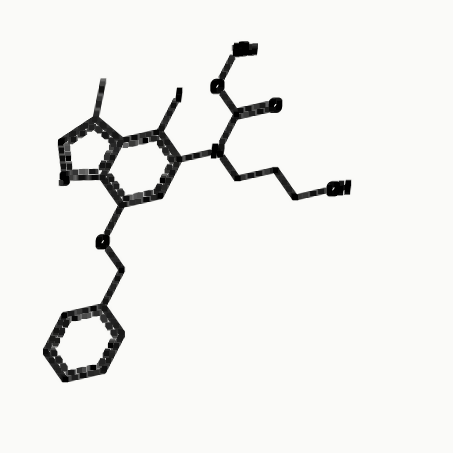 Cc1csc2c(OCc3ccccc3)cc(N(CCCO)C(=O)OC(C)(C)C)c(I)c12